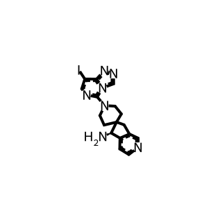 N[C@@H]1c2ccncc2CC12CCN(c1ncc(I)c3nncn13)CC2